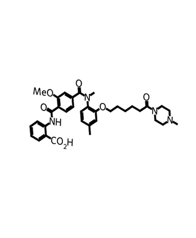 COc1cc(C(=O)N(C)c2ccc(C)cc2OCCCCCC(=O)N2CCN(C)CC2)ccc1C(=O)Nc1ccccc1C(=O)O